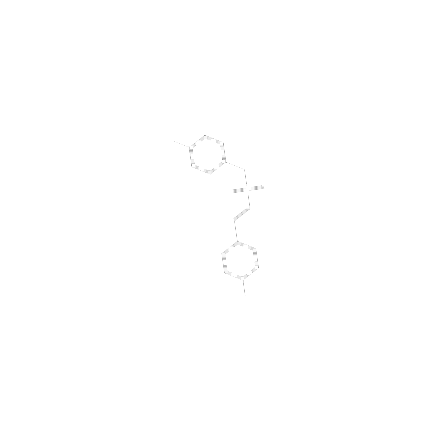 O=S(=O)(/C=C/c1ccc(I)cc1)Cc1ccc(F)cc1